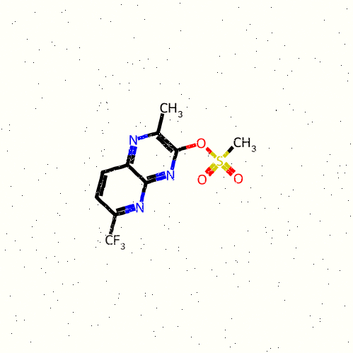 Cc1nc2ccc(C(F)(F)F)nc2nc1OS(C)(=O)=O